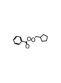 O=C(OOCC1CCCC1)c1ccccc1